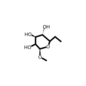 CCC1O[C@@H](OC)C(O)[C@@H](O)[C@@H]1O